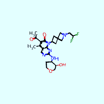 CC(=O)c1c(C)c2cnc(N[C@@H]3CCOC[C@@H]3O)nc2n(C2CC3(C2)CN(CC(F)F)C3)c1=O